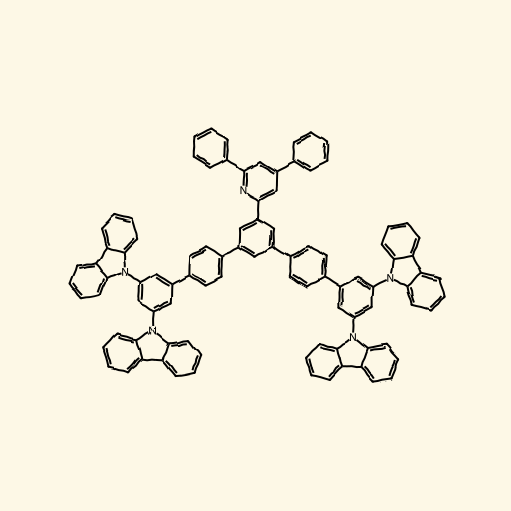 c1ccc(-c2cc(-c3ccccc3)nc(-c3cc(-c4ccc(-c5cc(-n6c7ccccc7c7ccccc76)cc(-n6c7ccccc7c7ccccc76)c5)cc4)cc(-c4ccc(-c5cc(-n6c7ccccc7c7ccccc76)cc(-n6c7ccccc7c7ccccc76)c5)cc4)c3)c2)cc1